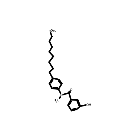 CCCCCCCCCCCCCCCCCCc1ccc(N(C)C(=O)c2cccc(O)c2)cc1